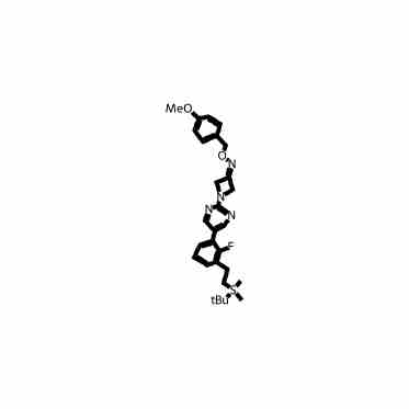 COc1ccc(CON=C2CN(c3ncc(-c4cccc(CCS(C)(C)C(C)(C)C)c4F)cn3)C2)cc1